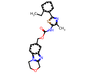 CCc1ccccc1-c1nc(C)c(NC(=O)OCc2ccc3c(c2)nc2n3CCOC2)s1